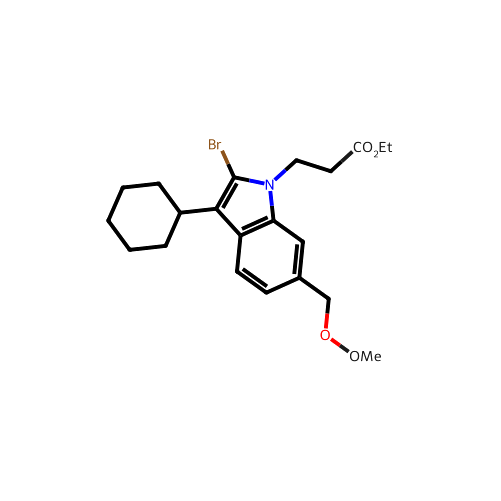 CCOC(=O)CCn1c(Br)c(C2CCCCC2)c2ccc(COOC)cc21